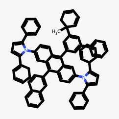 CC1(c2cc(-c3ccccc3)cc(-c3c4ccc(-n5c(C6=CC=CCC6)ccc5-c5ccccc5)cc4c(-c4ccc5ccccc5c4)c4ccc(-n5c(-c6ccccc6)ccc5C5C=CC=CC5)cc34)c2)C=CC=CC1